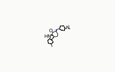 Cc1ccc2[nH]c3c(c2c1)CC/C(=C\c1ccc(N(C)C)cc1)C3=O